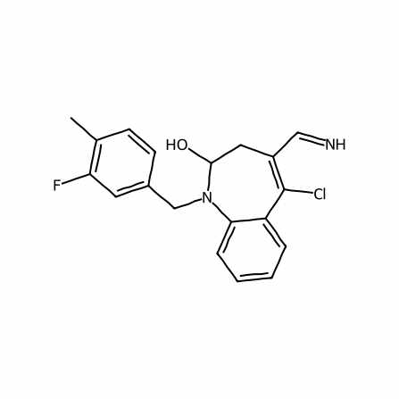 Cc1ccc(CN2c3ccccc3C(Cl)=C(C=N)CC2O)cc1F